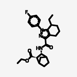 CCOC(=O)[C@H]1C2CCC(C2)[C@H]1NC(=O)c1nn(-c2ccc(F)cc2)c2c1CCCC2CC